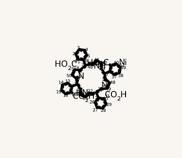 O=C(O)c1ccccc1-c1c2nc(c(-c3ccccc3C(=O)O)c3ccc([nH]3)c(-c3ccccc3C(=O)O)c3nc(c(-c4ccccc4C(=O)O)c4ccc1[nH]4)C=C3)C=C2.[Ni]